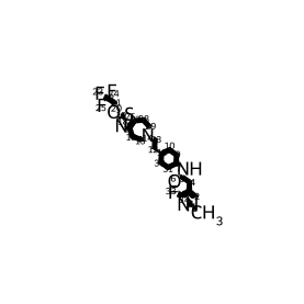 Cn1cc(CC(=O)N[C@H]2CC[C@H](CCN3CCc4nc(OCC(F)(F)F)sc4CC3)CC2)c(F)n1